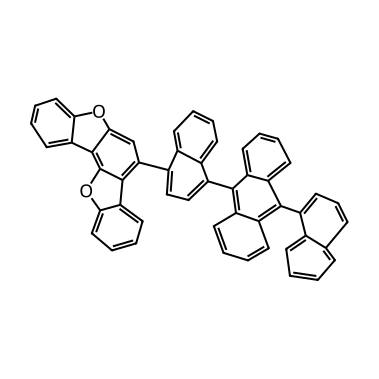 c1ccc2c(-c3c4ccccc4c(-c4ccc(-c5cc6oc7ccccc7c6c6oc7ccccc7c56)c5ccccc45)c4ccccc34)cccc2c1